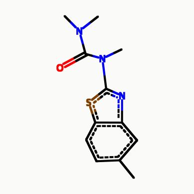 Cc1ccc2sc(N(C)C(=O)N(C)C)nc2c1